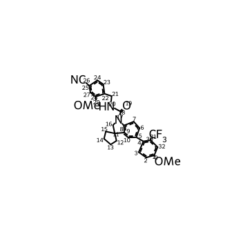 COc1ccc(-c2ccc3c(c2)C2(CCCC2)CN3C(=O)NCc2ccc(C#N)cc2OC)c(C(F)(F)F)c1